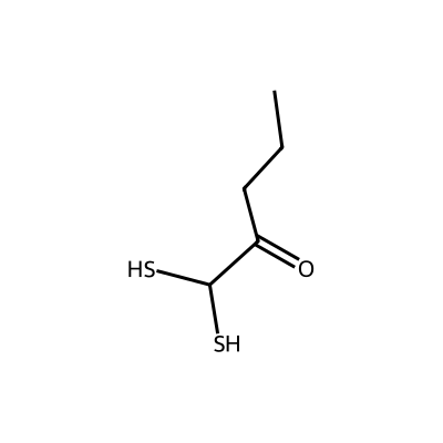 CCCC(=O)C(S)S